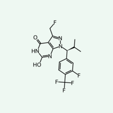 CC(C)[C@@H](c1ccc(C(F)(F)F)c(F)c1)n1nc(CF)c2c(=O)[nH]c(O)nc21